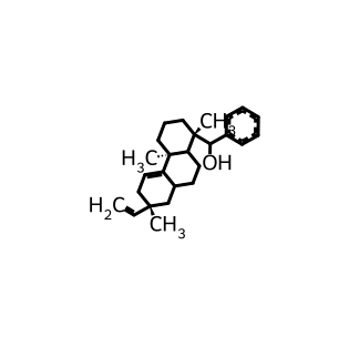 C=C[C@]1(C)CC=C2C(CCC3[C@@](C)(C(O)c4ccccc4)CCC[C@]23C)C1